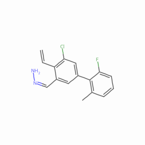 C=Cc1c(Cl)cc(-c2c(C)cccc2F)cc1/C=N\N